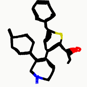 CC(=O)c1sc(-c2ccccc2)cc1C1=C(C2CCC(C)CC2)CNCC1